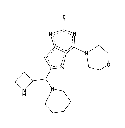 Clc1nc(N2CCOCC2)c2sc(C(C3CCN3)N3CCCCC3)cc2n1